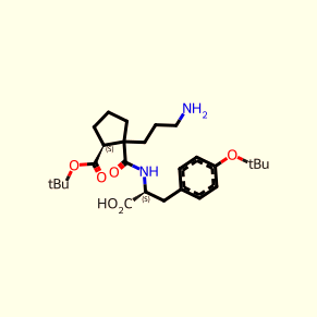 CC(C)(C)OC(=O)[C@H]1CCCC1(CCCN)C(=O)N[C@@H](Cc1ccc(OC(C)(C)C)cc1)C(=O)O